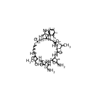 CC(C)C[C@@H]1NC(=O)[C@@H](Cc2ccccc2)NC(=O)[C@H](CCN)NC(=O)CCCNC(=O)[C@H]([C@@H](C)O)NC[C@](C=O)(CCN)NC(=O)[C@H](CCN)NC1=O